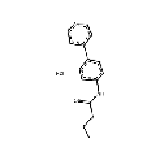 CCCC(=O)Nc1ccc(-c2ccncc2)cc1.Cl